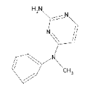 CN(c1ccccc1)c1ccnc(N)n1